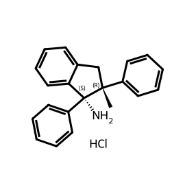 C[C@]1(c2ccccc2)Cc2ccccc2[C@]1(N)c1ccccc1.Cl